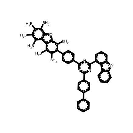 Bc1c(B)c(B)c2c(oc3c(B)c(-c4ccc(-c5nc(-c6ccc(-c7ccccc7)cc6)nc(-c6cccc7oc8ccccc8c67)n5)cc4)c(B)c(B)c32)c1B